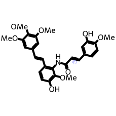 COc1ccc(/C=C/C(=O)Nc2c(C=Cc3cc(OC)c(OC)c(OC)c3)ccc(O)c2OC)cc1O